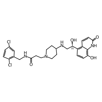 O=C(CCN1CCC(NC[C@@H](O)c2ccc(O)c3[nH]c(=O)ccc23)CC1)NCc1cc(Cl)ccc1Cl